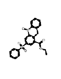 CCOC(=O)c1cc(S(=O)(=O)c2ccccc2)cc2c1Cc1ccccc1[S+]2[O-]